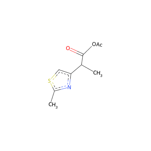 CC(=O)OC(=O)C(C)c1csc(C)n1